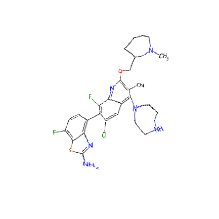 CN1CCCC1COc1nc2c(F)c(-c3ccc(F)c4sc(N)nc34)c(Cl)cc2c(N2CCNCC2)c1C#N